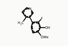 COc1ccc(-c2cnccc2C)c(F)c1O